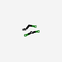 CCCCCl.[Cl][Ca][Cl]